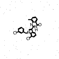 Cc1cccc2c(=O)[nH]c(-c3cn(Cc4cccc(Cl)c4)c4c(Cl)cccc34)nc12